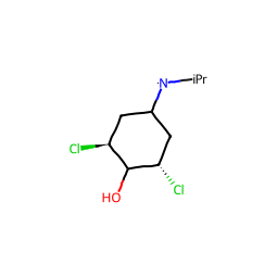 CC(C)[N]C1C[C@H](Cl)C(O)[C@@H](Cl)C1